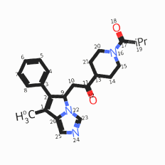 CC1=C(c2ccccc2)C(CC(=O)C2CCN(C(=O)C(C)C)CC2)n2cncc21